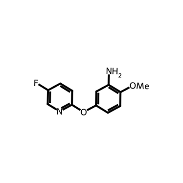 COc1ccc(Oc2ccc(F)cn2)cc1N